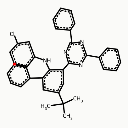 CC(C)(C)c1cc(-c2ccccc2)c(Nc2cccc(Cl)c2)c(-c2nc(-c3ccccc3)nc(-c3ccccc3)n2)c1